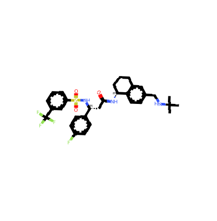 CC(C)(C)NCc1ccc2c(c1)CCC[C@H]2NC(=O)C[C@@H](NS(=O)(=O)c1cccc(C(F)(F)F)c1)c1ccc(F)cc1